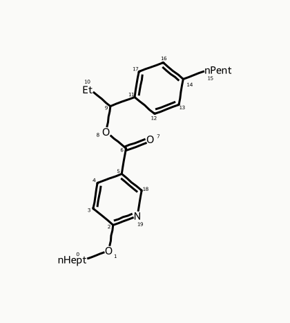 CCCCCCCOc1ccc(C(=O)OC(CC)c2ccc(CCCCC)cc2)cn1